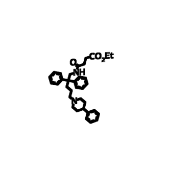 CCOC(=O)CCC(=O)NCC(CCCN1CCC(c2ccccc2)CC1)(c1ccccc1)c1ccccc1